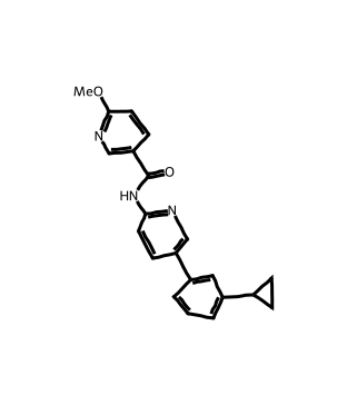 COc1ccc(C(=O)Nc2ccc(-c3cccc(C4CC4)c3)cn2)cn1